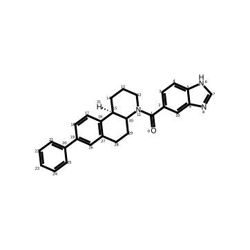 O=C(c1ccc2[nH]cnc2c1)N1CCC[C@@H]2c3ccc(-c4ccccc4)cc3CCC21